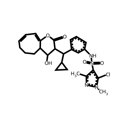 Cc1nn(C)c(Cl)c1S(=O)(=O)Nc1cccc(C(C2CC2)C2C(=O)OC3=CC=CCCCC3C2O)c1